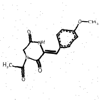 COc1ccc(C=C2NC(=O)CN(C(C)=O)C2=O)cc1